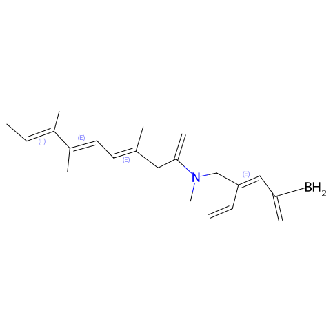 BC(=C)/C=C(\C=C)CN(C)C(=C)C/C(C)=C/C=C(C)/C(C)=C/C